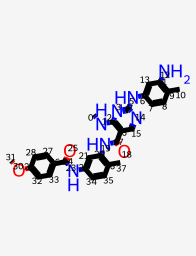 CNc1nc(Nc2ccc(C)c(N)c2)ncc1C(=O)Nc1cc(NC(=O)c2ccc(OC)cc2)ccc1C